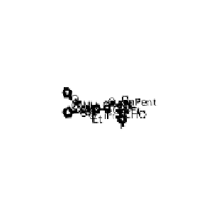 CCCCC[C@@H](C(=O)NCNC(=O)c1ccc(-c2ccc(C(=O)N[C@@H](CC(=O)OCc3ccccc3)C(=O)OCc3ccccc3)c(OCC)c2)o1)[C@@H](CC)N(C=O)OC(=O)c1ccc(F)cc1C(C)C